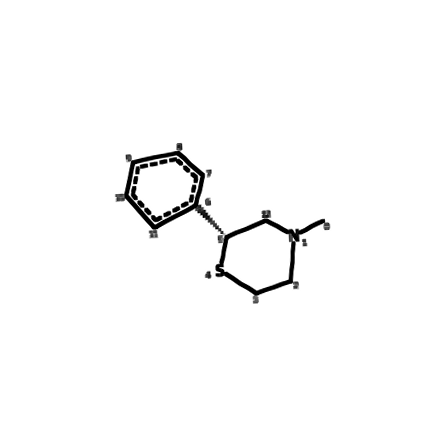 CN1CCS[C@H](c2ccccc2)C1